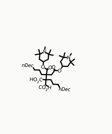 CCCCCCCCCCCCCC(CC(=O)O)(C(=O)O)C(CCCCCCCCCCCCC)(CC(=O)OC1CC(C)(C)N(C)C(C)(C)C1)C(=O)OC1CC(C)(C)N(C)C(C)(C)C1